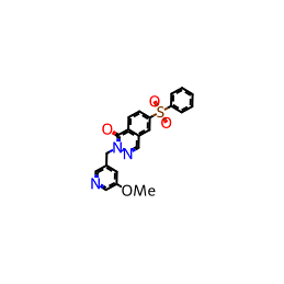 COc1cncc(Cn2ncc3cc(S(=O)(=O)c4ccccc4)ccc3c2=O)c1